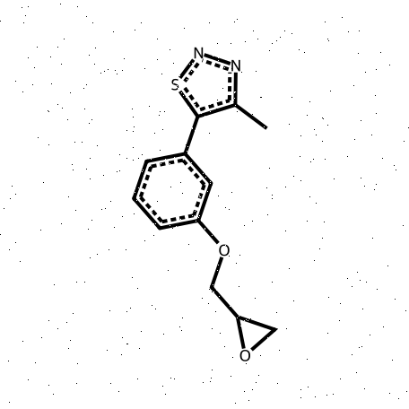 Cc1nnsc1-c1cccc(OCC2CO2)c1